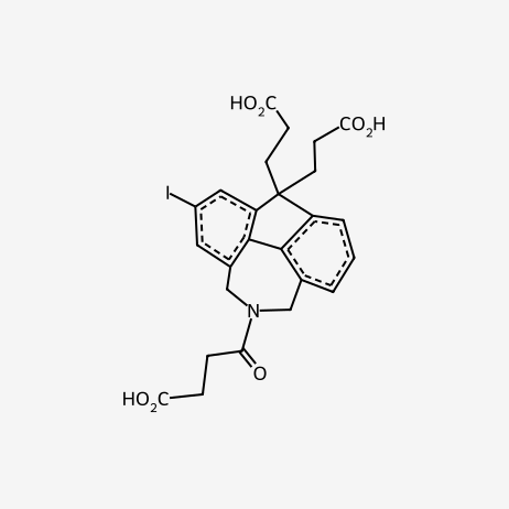 O=C(O)CCC(=O)N1Cc2cccc3c2-c2c(cc(I)cc2C3(CCC(=O)O)CCC(=O)O)C1